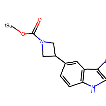 CC(C)(C)OC(=O)N1CC(c2ccc3[nH]cc(I)c3c2)C1